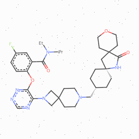 CCN(C(=O)c1cc(F)ccc1Oc1nncnc1N1CC2(CCN(C[C@H]3CC[C@]4(CC3)CC3(CCOCC3)C(=O)N4)CC2)C1)C(C)C